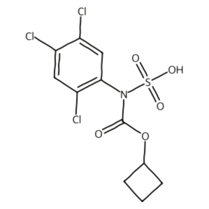 O=C(OC1CCC1)N(c1cc(Cl)c(Cl)cc1Cl)S(=O)(=O)O